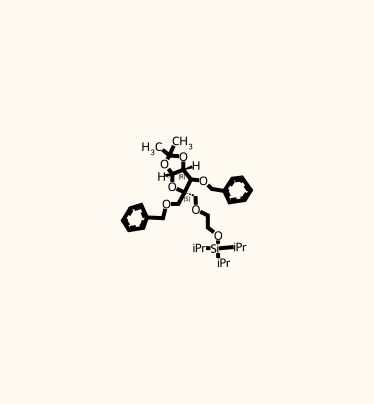 CC(C)[Si](OCCOC[C@]1(COCc2ccccc2)O[C@@H]2OC(C)(C)O[C@@H]2C1OCc1ccccc1)(C(C)C)C(C)C